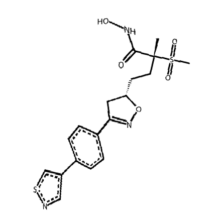 C[C@@](CC[C@H]1CC(c2ccc(-c3cnsc3)cc2)=NO1)(C(=O)NO)S(C)(=O)=O